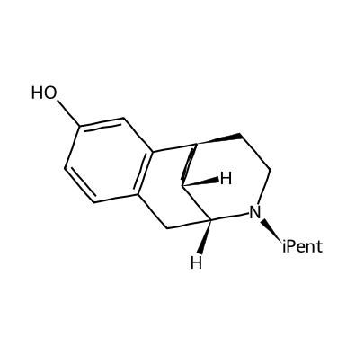 CCC[C@H](C)N1CC[C@]23CCCC[C@H]2[C@H]1Cc1ccc(O)cc13